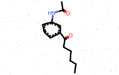 CCCCCC(=O)c1cccc(NC(C)=O)c1